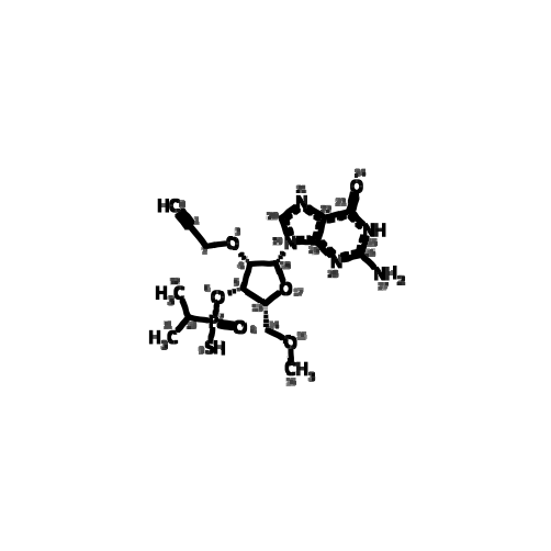 C#CCO[C@H]1[C@@H](OP(=O)(S)C(C)C)[C@@H](COC)O[C@H]1n1cnc2c(=O)[nH]c(N)nc21